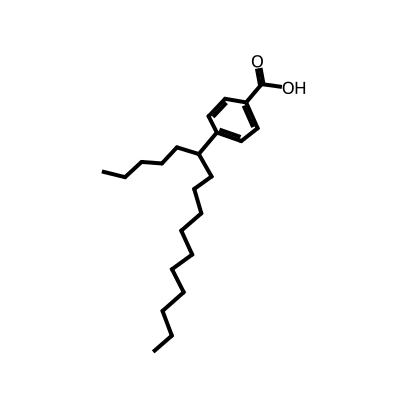 CCCCCCCCCCC(CCCCC)c1ccc(C(=O)O)cc1